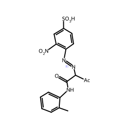 CC(=O)C(/N=N/c1ccc(S(=O)(=O)O)cc1[N+](=O)[O-])C(=O)Nc1ccccc1C